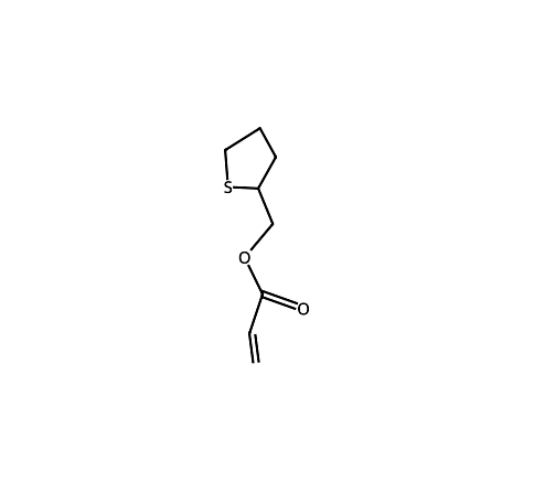 C=CC(=O)OCC1CCCS1